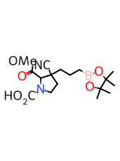 COC(=O)C1N(C(=O)O)CCC1(C#N)CCCB1OC(C)(C)C(C)(C)O1